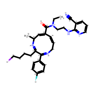 CCN(CCNc1ncccc1C#N)C(=O)C1=C/C(C)/N=C(CCCCI)\C(c2ccc(F)cc2)=N/C/C=C\1